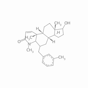 Cc1cccc(CC2C[C@@H]3[C@@H](CC[C@]4(C)C(O)CC[C@@H]34)[C@@]3(C)C=CC(=O)N(C)C23)c1